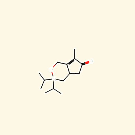 CC1=C2CO[Si](C(C)C)(C(C)C)CC2CC1=O